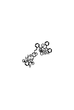 COC(=O)N[C@H](C(=O)Nc1ccccc1CC[C@@H]1CN[C@H](CNC(=O)c2[nH]c(=O)ccc2F)CO1)C(c1ccccc1)c1ccccc1